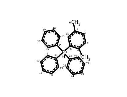 Cc1ccc(C)c([PH](c2ccccc2)(c2ccccc2)c2ccccc2)c1